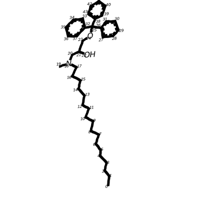 CCCCCCCCCCCCCCCCCCN(C)CC(O)COC(c1ccccc1)(c1ccccc1)c1ccccc1